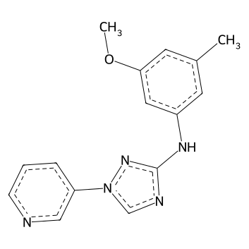 COc1cc(C)cc(Nc2ncn(-c3cccnc3)n2)c1